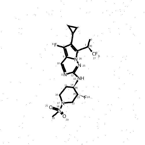 C[C@H](c1c(C2CC2)c(F)c2cnc(N[C@@H]3CCN(S(C)(=O)=O)C[C@H]3F)nn12)C(F)(F)F